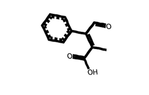 CC(C(=O)O)=C(C=O)c1ccccc1